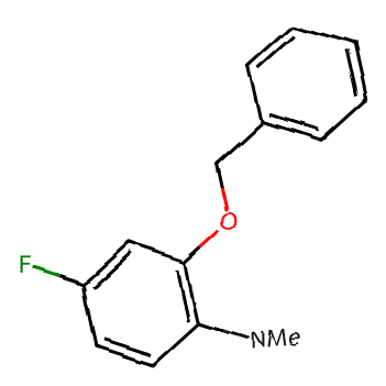 CNc1ccc(F)cc1OCc1ccccc1